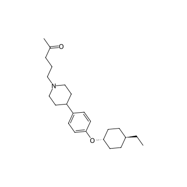 CC[C@H]1CC[C@H](Oc2ccc(C3CCN(CCCC(C)=O)CC3)cc2)CC1